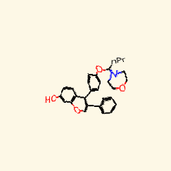 CCCC(Oc1ccc(C2c3ccc(O)cc3OCC2c2ccccc2)cc1)N1CCOCC1